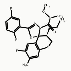 CON(C)C(=O)N1N=C(c2cc(F)ccc2F)S[C@]12c1cc(F)c(C)cc1OC[C@@H]2CCN